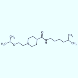 CC(C)CCCCNC(=O)C1CCN(CCOC(C)C)CC1